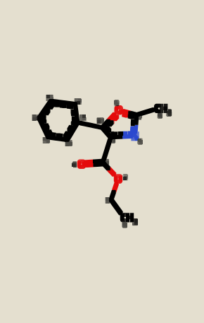 CCOC(=O)c1nc(C)oc1-c1ccccc1